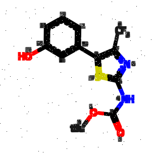 CC(C)(C)OC(=O)Nc1nc(C(F)(F)F)c(-c2cccc(O)c2)s1